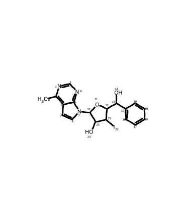 Cc1ncnc2c1ccn2C1OC(C(O)c2ccccc2)C(I)C1O